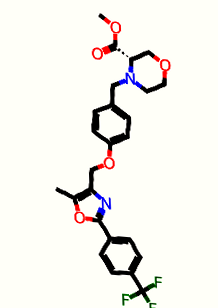 COC(=O)[C@@H]1COCCN1Cc1ccc(OCc2nc(-c3ccc(C(F)(F)F)cc3)oc2C)cc1